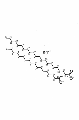 CCCCCCCCCCCCCCCCCC(=O)[O-].CCCCCCCCCCCCCCCCCCCCCC(=O)[O-].[Ag+2]